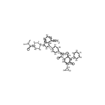 CC(C)C(=O)N1CCC(c2cc(-c3ccc(NC(=O)c4cn(C5CC5)c(=O)n(-c5ccccc5)c4=O)cc3)c3c(N)ncnn23)CC1